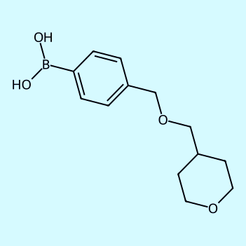 OB(O)c1ccc(COCC2CCOCC2)cc1